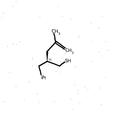 C=C(C)C[C@@H](CS)CC(C)C